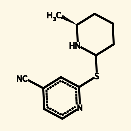 C[C@@H]1CCCC(Sc2cc(C#N)ccn2)N1